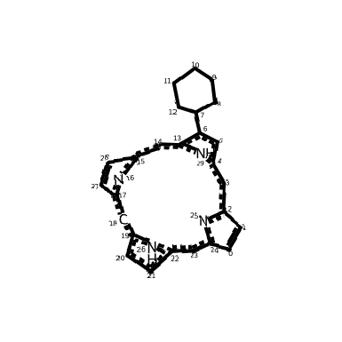 C1=Cc2cc3cc(C4CCCCC4)c(cc4nc(cc5ccc(cc1n2)[nH]5)C=C4)[nH]3